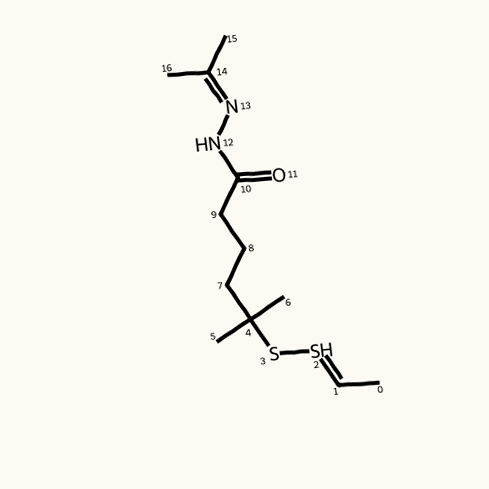 CC=[SH]SC(C)(C)CCCC(=O)NN=C(C)C